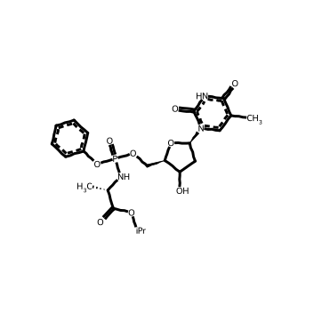 Cc1cn([C@H]2CC(O)[C@@H](COP(=O)(N[C@@H](C)C(=O)OC(C)C)Oc3ccccc3)O2)c(=O)[nH]c1=O